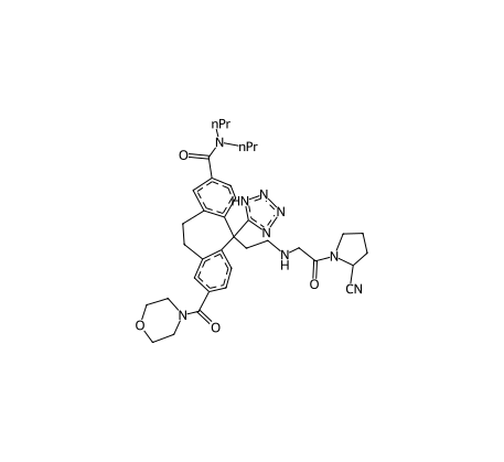 CCCN(CCC)C(=O)c1ccc2c(c1)CCc1cc(C(=O)N3CCOCC3)ccc1C2(CCNCC(=O)N1CCCC1C#N)c1nnn[nH]1